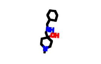 CN1CCC(O)(CNCC2CCCCC2)CC1